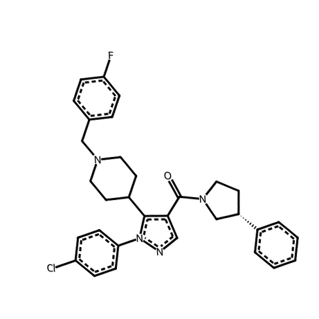 O=C(c1cnn(-c2ccc(Cl)cc2)c1C1CCN(Cc2ccc(F)cc2)CC1)N1CC[C@H](c2ccccc2)C1